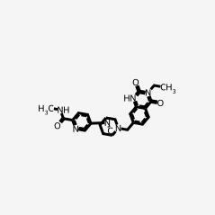 CCn1c(=O)[nH]c2cc(CN3CC4CCC3CN4c3ccc(C(=O)NC)nc3)ccc2c1=O